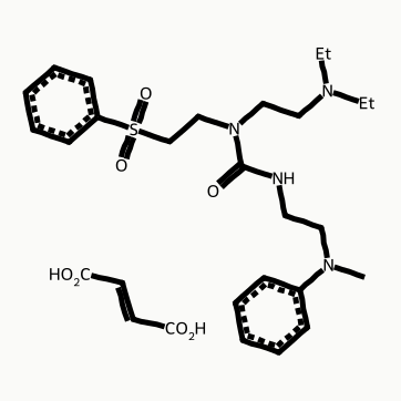 CCN(CC)CCN(CCS(=O)(=O)c1ccccc1)C(=O)NCCN(C)c1ccccc1.O=C(O)C=CC(=O)O